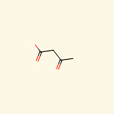 CC(=O)CC(=O)[O-].[Li+]